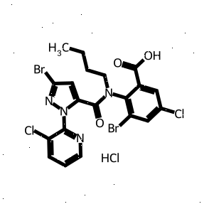 CCCCN(C(=O)c1cc(Br)nn1-c1ncccc1Cl)c1c(Br)cc(Cl)cc1C(=O)O.Cl